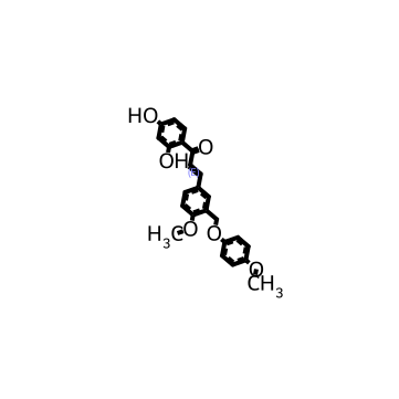 COc1ccc(OCc2cc(/C=C/C(=O)c3ccc(O)cc3O)ccc2OC)cc1